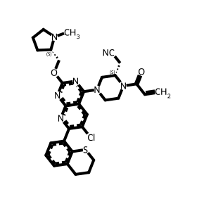 C=CC(=O)N1CCN(c2nc(OC[C@@H]3CCCN3C)nc3nc(-c4cccc5c4SCCC5)c(Cl)cc23)C[C@@H]1CC#N